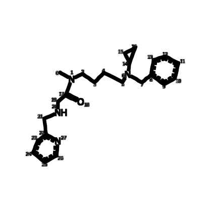 CN(CCCCN(Cc1ccccc1)C1CC1)C(=O)CNCc1ccccn1